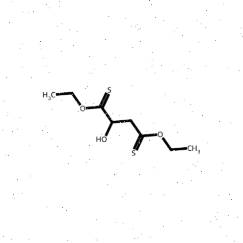 CCOC(=S)CC(O)C(=S)OCC